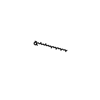 CC(C)=CCC/C(C)=C/C=C/C(C)=C/C=C/C(C)=C/C=C/C=C(C)/C=C/C=C(\C)CCC1=C(C)CCCC1(C)C